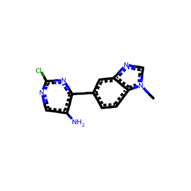 Cn1cnc2cc(-c3nc(Cl)ncc3N)ccc21